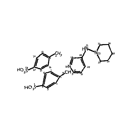 Cc1ccc(S(=O)(=O)O)cc1.Cc1ccc(S(=O)(=O)O)cc1.c1cncc(NN2CCCCC2)c1